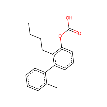 CCCCc1c(OC(=O)O)cccc1-c1ccccc1C